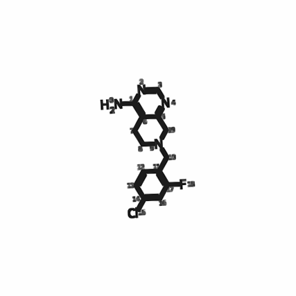 Nc1ncnc2c1CCN(Cc1ccc(Cl)cc1F)C2